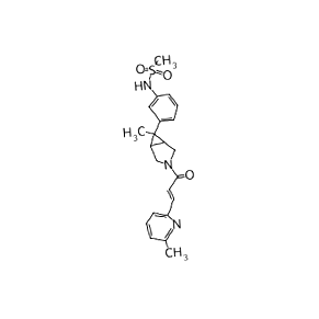 Cc1cccc(/C=C/C(=O)N2CC3C(C2)C3(C)c2cccc(NS(C)(=O)=O)c2)n1